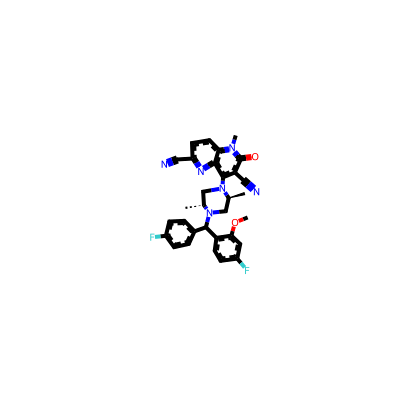 COc1cc(F)ccc1C(c1ccc(F)cc1)N1C[C@H](C)N(c2c(C#N)c(=O)n(C)c3ccc(C#N)nc23)C[C@H]1C